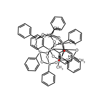 C[SiH]1O[SiH](C)O[Si]2(c3ccccc3)O[Si]3(c4ccccc4)O[Si]4(c5ccccc5)O[SiH](C)O[SiH](C)O[Si]5(c6ccccc6)O[Si](c6ccccc6)(O[Si](c6ccccc6)(O1)O[Si](c1ccccc1)(O5)O[Si](c1ccccc1)(O2)O4)O3